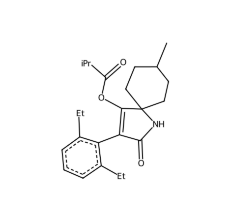 CCc1cccc(CC)c1C1=C(OC(=O)C(C)C)C2(CCC(C)CC2)NC1=O